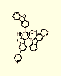 CN1C(c2ccc3oc4ccccc4c3c2)Nc2oc3cc(-c4ccncc4)ccc3c2C1n1c2ccccc2c2cc3ccccc3cc21